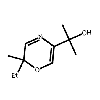 CCC1(C)C=NC(C(C)(C)O)=CO1